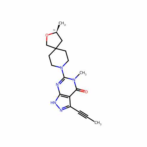 CC#Cc1n[nH]c2nc(N3CCC4(CC3)CO[C@@H](C)C4)n(C)c(=O)c12